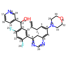 C=CC/C=C(\C=C1/CC(c2cc(C(O)c3cccnc3)c(F)cc2F)=NC=N1)N1CCOCC1